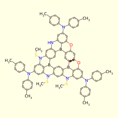 CSN1c2cc3c(cc2B2c4ccccc4Oc4cc(N(c5ccc(C)cc5)c5ccc(C)cc5)cc1c42)B1c2cc4c(cc2N(SC)c2cc(N(c5ccc(C)cc5)c5ccc(C)cc5)cc(c21)N3SC)Nc1cc(N(c2ccc(C)cc2)c2ccc(C)cc2)cc2c1B4c1ccccc1O2